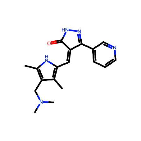 Cc1[nH]c(C=C2C(=O)NN=C2c2cccnc2)c(C)c1CN(C)C